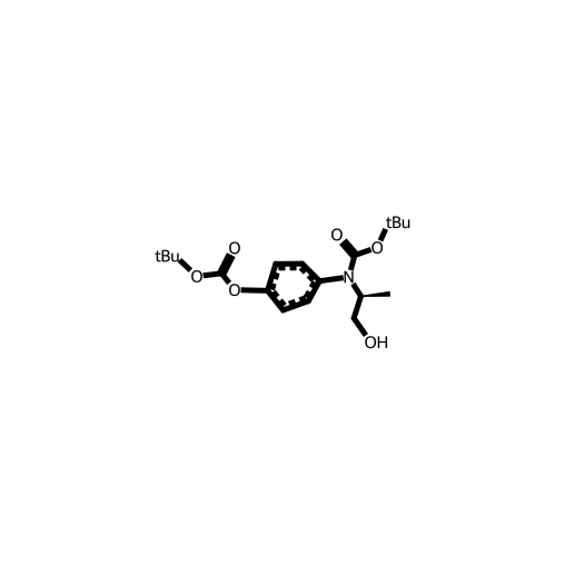 C[C@@H](CO)N(C(=O)OC(C)(C)C)c1ccc(OC(=O)OC(C)(C)C)cc1